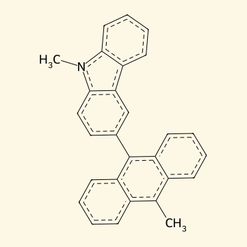 Cc1c2ccccc2c(-c2ccc3c(c2)c2ccccc2n3C)c2ccccc12